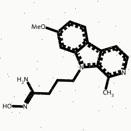 COc1ccc2c3ccnc(C)c3n(CCC/C(N)=N/O)c2c1